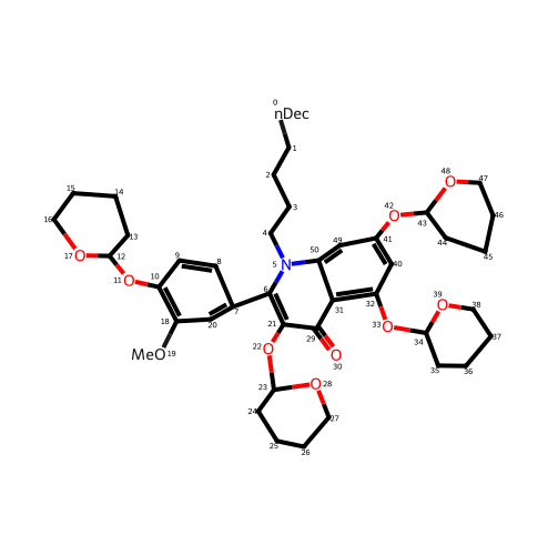 CCCCCCCCCCCCCCn1c(-c2ccc(OC3CCCCO3)c(OC)c2)c(OC2CCCCO2)c(=O)c2c(OC3CCCCO3)cc(OC3CCCCO3)cc21